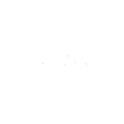 CC(C)N1CCN(c2nccc(/C=C3/SC(=O)NC3=O)n2)CC1